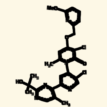 COc1cccc(COc2cc(C)n(-c3cc(-c4nc(C(C)(C)O)ncc4C)ncc3Cl)c(=O)c2Cl)n1